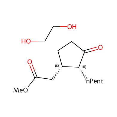 CCCCC[C@H]1C(=O)CC[C@H]1CC(=O)OC.OCCO